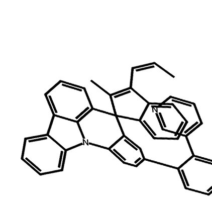 C/C=C\C1=C(C)C2(c3ccccc31)c1cc(-c3ccccc3-c3cccnc3)ccc1-n1c3ccccc3c3cccc2c31